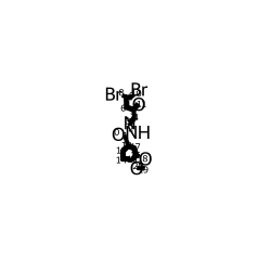 O=C(N/N=C/c1cc(Br)c(Br)o1)c1ccc2c(c1)OCO2